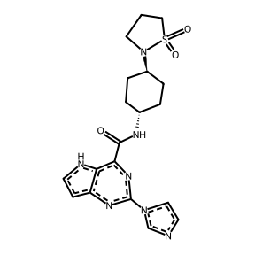 O=C(N[C@H]1CC[C@H](N2CCCS2(=O)=O)CC1)c1nc(-n2ccnc2)nc2cc[nH]c12